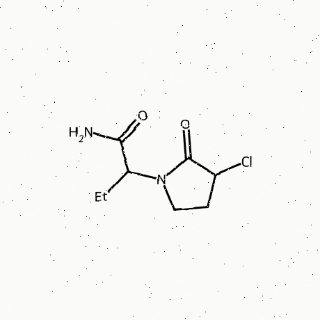 CCC(C(N)=O)N1CCC(Cl)C1=O